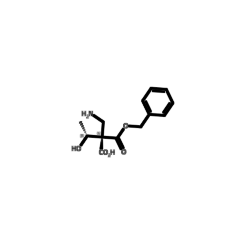 C[C@@H](O)[C@@](CN)(C(=O)O)C(=O)OCc1ccccc1